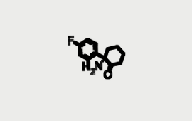 Cc1cc(F)ccc1[C@@]1(N)CCCCC1=O